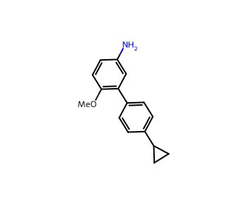 COc1ccc(N)cc1-c1ccc(C2CC2)cc1